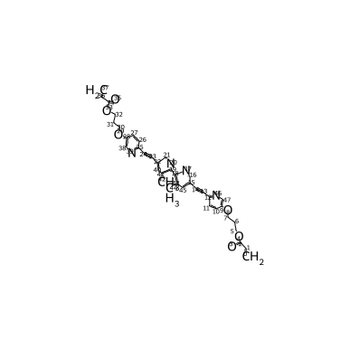 C=CC(=O)OCCCOc1ccc(C#Cc2cnc(-c3ncc(C#Cc4ccc(OCCCOC(=O)C=C)cn4)cc3C)c(C)c2)nc1